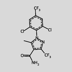 Cc1c(C(N)=O)c(C(F)(F)F)nn1-c1c(Cl)cc(C(F)(F)F)cc1Cl